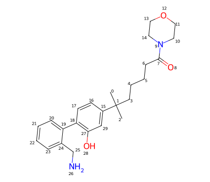 CC(C)(CCCCC(=O)N1CCOCC1)c1ccc(-c2ccccc2CN)c(O)c1